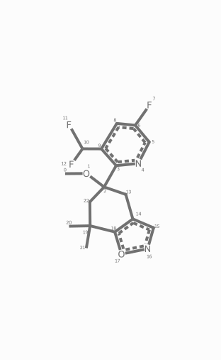 COC1(c2ncc(F)cc2C(F)F)Cc2cnoc2C(C)(C)C1